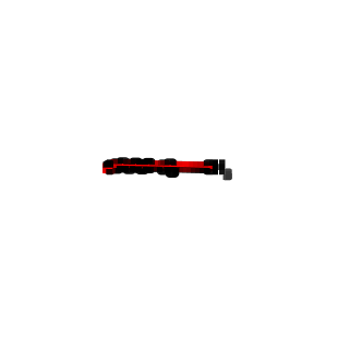 CCCCCCCCCCCCCCCCCC(=O)OCCOCCCCCCOCCOCCOCCOCCOCCOCc1ccccc1